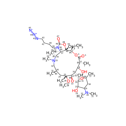 CC[C@H]1OC(=O)[C@H](C)C(O)[C@H](C)[C@@H](O[C@@H]2OC(C)CC(N(C)C)C2O)[C@](C)(OC)C[C@@H](C)CN(C)[C@H](C)[C@H]2N(CCCCN=[N+]=[N-])C(=O)O[C@]12C